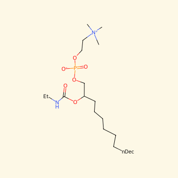 CCCCCCCCCCCCCCCCC(COP(=O)([O-])OCC[N+](C)(C)C)OC(=O)NCC